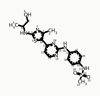 Cc1nc(NC(C)CO)sc1-c1ccnc(Nc2ccc(NS(C)(=O)=O)cc2)n1